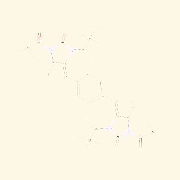 CC(C)(C)C(=O)n1c(=O)n(C(=O)C(C)(C)C)c2c(-c3ccc(-c4scc5c4n(C(=O)C(C)(C)C)c(=O)n5C(=O)C(C)(C)C)cc3)scc21